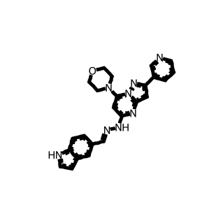 C(=N\Nc1cc(N2CCOCC2)n2nc(-c3cccnc3)cc2n1)/c1ccc2[nH]ccc2c1